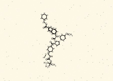 COC1CCC([C@@H]2CCN(C(=O)C3CCC([C@@H](CF)NC(=O)OC(C)(C)C)CC3)[C@@H]2C(=O)Nc2ccc3oc(C(=O)OCC4CCCCC4)cc3c2)CC1